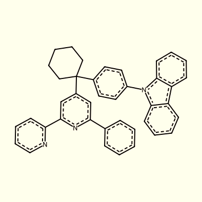 c1ccc(-c2cc(C3(c4ccc(-n5c6ccccc6c6ccccc65)cc4)CCCCC3)cc(-c3ccccn3)n2)cc1